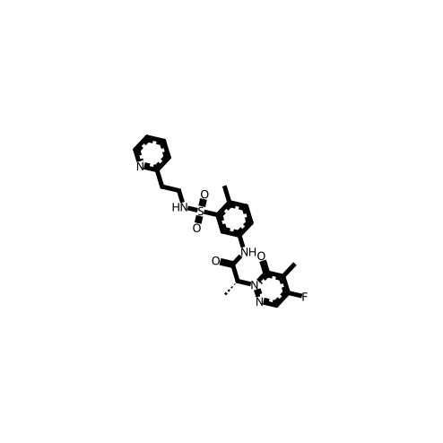 Cc1ccc(NC(=O)[C@@H](C)n2ncc(F)c(C)c2=O)cc1S(=O)(=O)NCCc1ccccn1